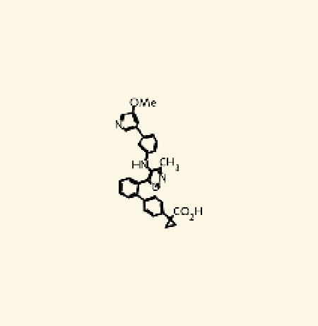 COc1cncc(-c2cccc(Nc3c(C)noc3-c3ccccc3-c3ccc(C4(C(=O)O)CC4)cc3)c2)c1